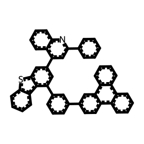 c1ccc(-c2cc(-c3cc(-c4cccc(-c5ccc6c7ccccc7c7ccccc7c6c5)c4)c4c(c3)sc3ccccc34)c3ccccc3n2)cc1